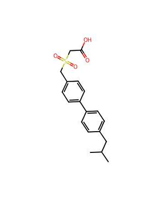 CC(C)Cc1ccc(-c2ccc(CS(=O)(=O)CC(=O)O)cc2)cc1